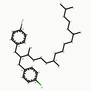 CC(C)CCCC(C)CCCCC(C)CCCC(C)C(Cc1ccc(F)cc1)Cc1ccc(F)cc1